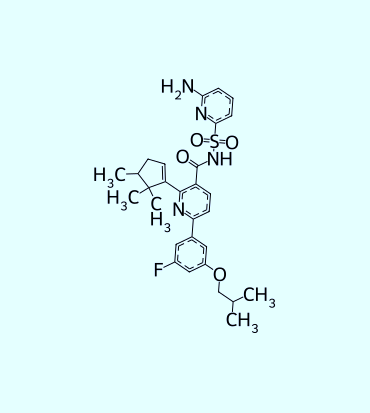 CC(C)COc1cc(F)cc(-c2ccc(C(=O)NS(=O)(=O)c3cccc(N)n3)c(C3=CCC(C)C3(C)C)n2)c1